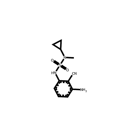 CN(C1CC1)S(=O)(=O)Nc1cccc(N)c1C#N